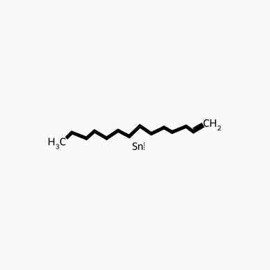 C=CCCCCCCCCCCCC.[Sn]